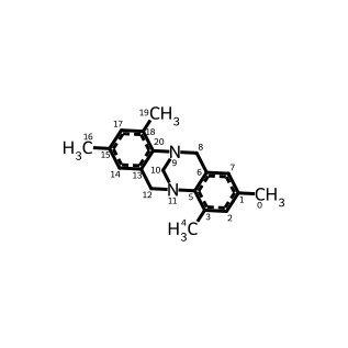 Cc1cc(C)c2c(c1)CN1CN2Cc2cc(C)cc(C)c21